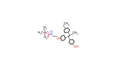 CC/C(=C(\c1ccc(O)cc1)c1ccc(OCCNC(=O)OC(C)(C)C)cc1)c1ccc(CC)cc1